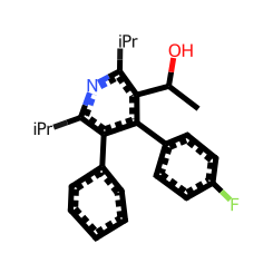 CC(C)c1nc(C(C)C)c(C(C)O)c(-c2ccc(F)cc2)c1-c1ccccc1